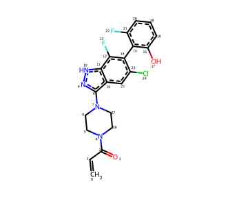 C=CC(=O)N1CCN(c2n[nH]c3c(F)c(-c4c(O)cccc4F)c(Cl)cc23)CC1